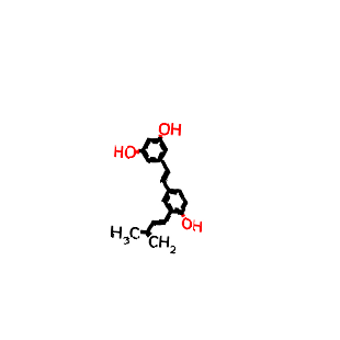 C=C(C)C=Cc1cc(C=Cc2cc(O)cc(O)c2)ccc1O